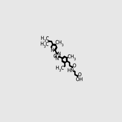 CCc1cc(-c2noc(-c3cc(C)c(CC(C)C)cn3)n2)cc(C)c1CCC(=O)NCCC(=O)O